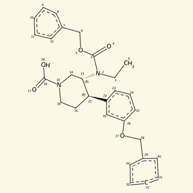 CCN(C(=O)OCc1ccccc1)[C@H]1CN(C(=O)O)CC[C@@H]1c1cccc(OCc2ccccc2)c1